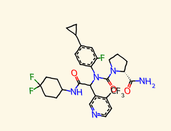 NC(=O)[C@H]1CCCN1C(=O)N(c1ccc(C2CC2)cc1F)C(C(=O)NC1CCC(F)(F)CC1)c1cnccc1C(F)(F)F